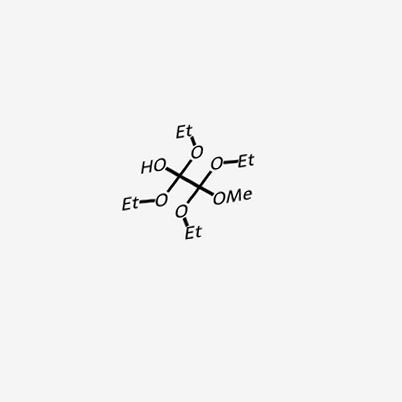 CCOC(O)(OCC)C(OC)(OCC)OCC